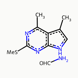 CSc1nc(C)c2c(C)c[nH]c2n1.NC=O